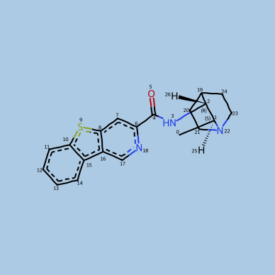 C[C@H]1[C@H](NC(=O)c2cc3sc4ccccc4c3cn2)C2CCN1CC2